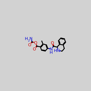 Cc1cc(NC(=O)C2NCCc3ccccc32)ccc1C(=O)OC(N)=O